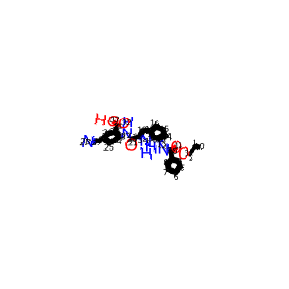 CCCOc1ccccc1C(=O)Nc1cccc2cc(C(=O)Nc3ccc(C#N)cc3C(=O)O)[nH]c12